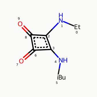 CCNc1c(NC(C)CC)c(=O)c1=O